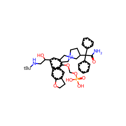 CC(C)(C)NCC(O)c1ccc(OCOP(=O)(O)O)c(C[N+]2(CCc3ccc4c(c3)CCO4)CCC(C(C(N)=O)(c3ccccc3)c3ccccc3)C2)c1